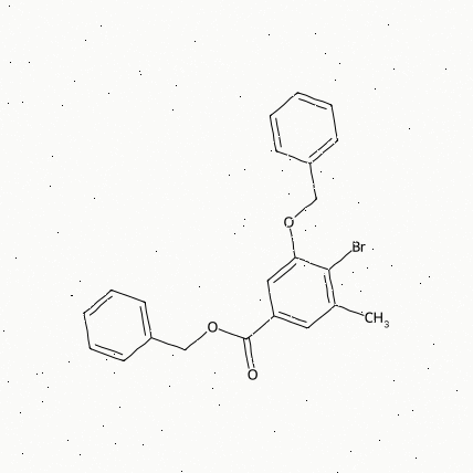 Cc1cc(C(=O)OCc2ccccc2)cc(OCc2ccccc2)c1Br